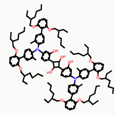 CCCCC(CC)COc1cccc(OCC(CC)CCCC)c1-c1ccc(N(c2ccc(C3C(O)C(c4ccc(N(c5ccc(-c6c(OCC(CC)CCCC)cccc6OCC(CC)CCCC)cc5C)c5ccc(-c6c(OCC(CC)CCCC)cccc6OCC(CC)CCCC)cc5C)cc4O)C3O)c(O)c2)c2ccc(-c3c(OCC(CC)CCCC)cccc3OCC(CC)CCCC)cc2C)c(C)c1